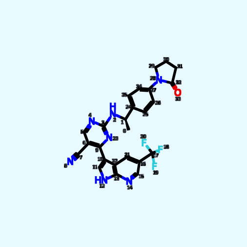 C[C@@H](Nc1ncc(C#N)c(-c2c[nH]c3ncc(C(F)(F)F)cc23)n1)c1ccc(N2CCCC2=O)cc1